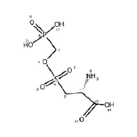 N[C@@H](CS(=O)(=O)OCP(=O)(O)O)C(=O)O